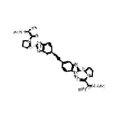 CCC[C@H](NC(C)=O)C(=O)N1CCC[C@H]1c1nc2cc(C#Cc3ccc4[nH]c([C@@H]5CCCN5C(=O)[C@H](CCC)NC(C)=O)nc4c3)ccc2[nH]1